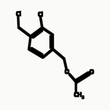 CC(=O)OCc1ccc(CCl)c(Cl)c1